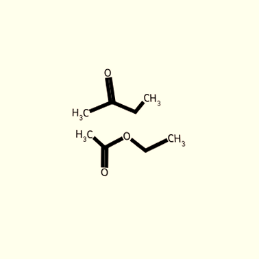 CCC(C)=O.CCOC(C)=O